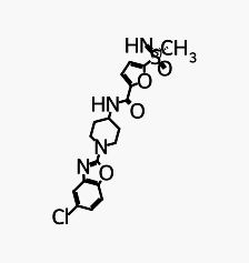 C[S@](=N)(=O)c1ccc(C(=O)NC2CCN(c3nc4cc(Cl)ccc4o3)CC2)o1